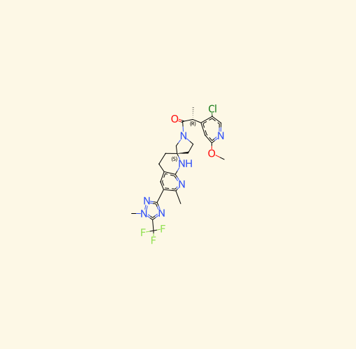 COc1cc([C@@H](C)C(=O)N2CC[C@@]3(CCc4cc(-c5nc(C(F)(F)F)n(C)n5)c(C)nc4N3)C2)c(Cl)cn1